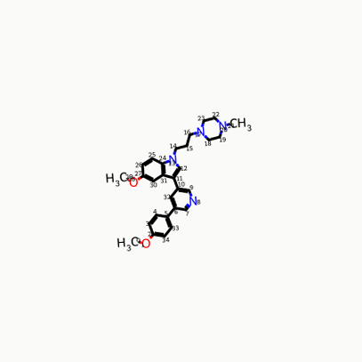 COc1ccc(-c2cncc(-c3cn(CCCN4CCN(C)CC4)c4ccc(OC)cc34)c2)cc1